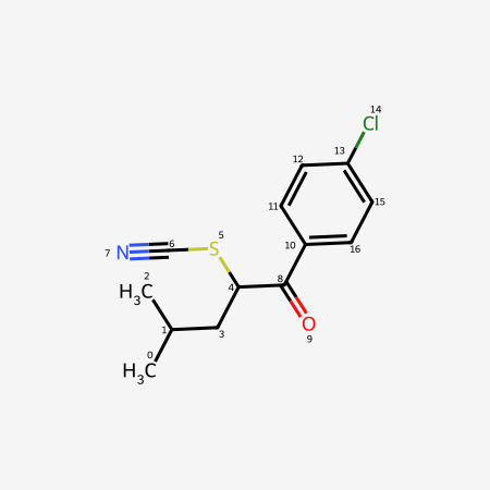 CC(C)CC(SC#N)C(=O)c1ccc(Cl)cc1